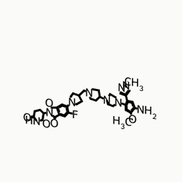 COc1cc(N2CCN(C3CCN(CC4CCN(c5cc6c(cc5F)C(=O)N(C5CCC(=O)NC5=O)C6=O)CC4)CC3)CC2)c(-c2cnn(C)c2)cc1N